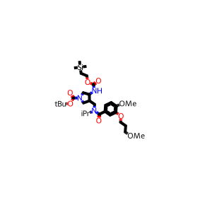 COCCCOc1cc(C(=O)N(CC2CN(C(=O)OC(C)(C)C)CC2NC(=O)OCC[Si](C)(C)C)C(C)C)ccc1OC